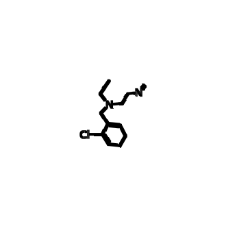 C=NCCN(CC)CC1=CCCC=C1Cl